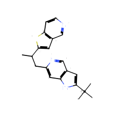 CC(Cc1cc2[nH]c(C(C)(C)C)cc2cn1)c1cc2cnccc2s1